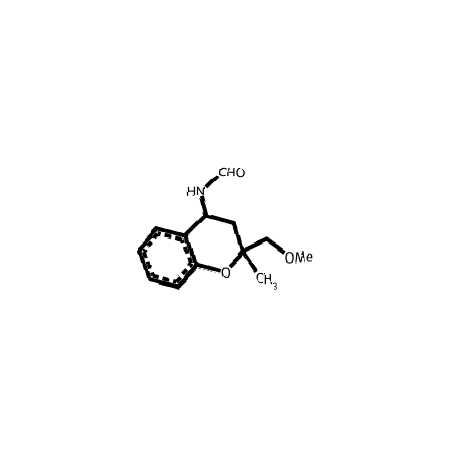 COCC1(C)CC(NC=O)c2ccccc2O1